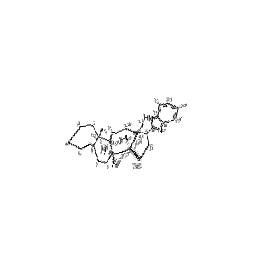 C[C@]12CCCCC1CC[C@@H]1[C@@H]2CC[C@]2(C)C(c3nc4ccccc4[nH]3)CC[C@@H]12